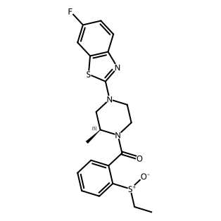 CC[S+]([O-])c1ccccc1C(=O)N1CCN(c2nc3ccc(F)cc3s2)C[C@@H]1C